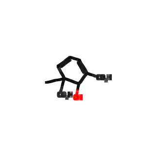 CC1(C(=O)O)C=CC=C(C(=O)O)C1O